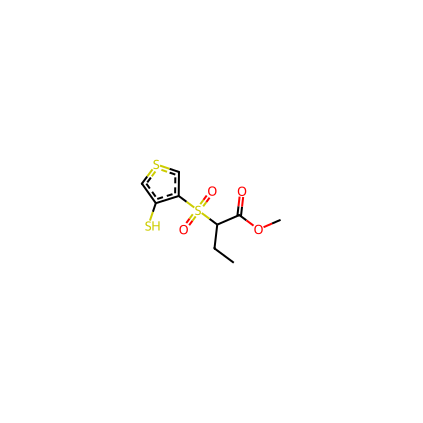 CCC(C(=O)OC)S(=O)(=O)c1cscc1S